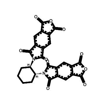 O=c1oc(=O)c2cc3c(=O)n([C@@H]4CCCC[C@H]4n4c(=O)c5cc6c(=O)oc(=O)c6cc5c4=O)c(=O)c3cc12